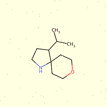 CC(C)C1CCNC12CCOCC2